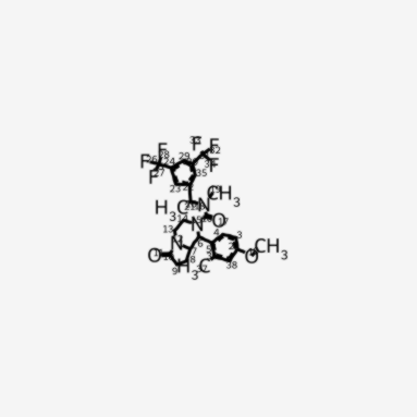 COc1ccc(C2C3CCC(=O)N3CCN2C(=O)N(C)[C@H](C)c2cc(C(F)(F)F)cc(C(F)(F)F)c2)c(C)c1